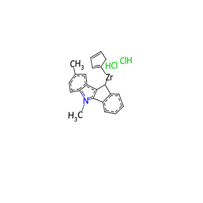 Cc1ccc2c(c1)c1c(n2C)-c2ccccc2[CH]1[Zr][C]1=CC=CC1.Cl.Cl